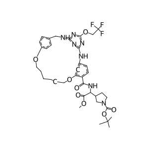 COC(=O)C(NC(=O)c1ccc2cc1OCCCCCCOc1ccc(cc1)CNc1nc(nc(OCC(F)(F)F)n1)N2)C1CCN(C(=O)OC(C)(C)C)C1